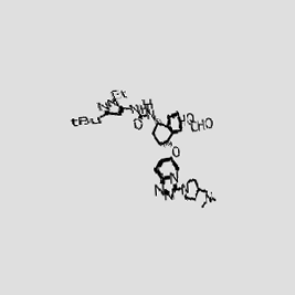 CCn1nc(C(C)(C)C)cc1NC(=O)N[C@H]1CC[C@@H](Oc2ccc3nnc(N4CCC(CN(C)C)CC4)n3c2)c2ccccc21.O=CO